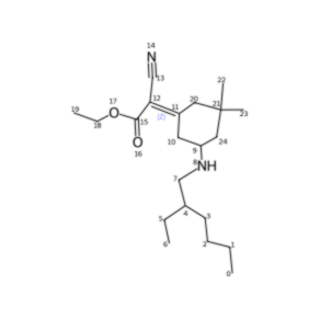 CCCCC(CC)CNC1C/C(=C(/C#N)C(=O)OCC)CC(C)(C)C1